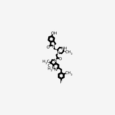 Cc1cc(F)ccc1Cc1cc2c(nn1)C(C)(C)CN2C(=O)CN1C[C@@H](C)NC[C@@H]1CN1Cc2cc(O)ccc2C1=O